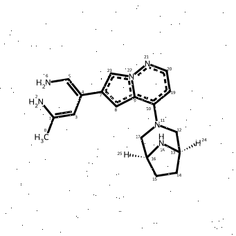 C/C(N)=C/C(=C\N)c1cc2c(N3C[C@H]4CC[C@@H](C3)N4)ccnn2c1